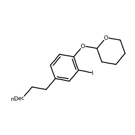 CCCCCCCCCCCCc1ccc(OC2CCCCO2)c(I)c1